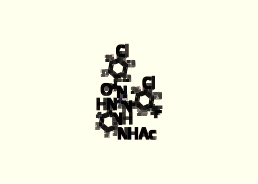 CC(=O)Nc1cccc(N/C(=N\C(=O)c2ccc(Cl)cc2)Nc2cc(F)cc(Cl)c2)n1